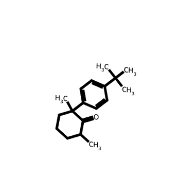 CC1CCCC(C)(c2ccc(C(C)(C)C)cc2)C1=O